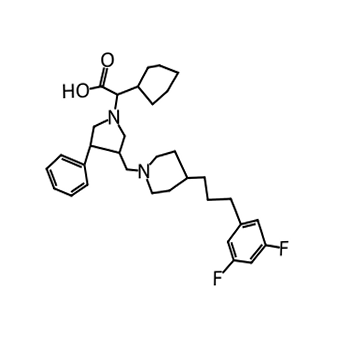 O=C(O)C(C1CCCCC1)N1CC(CN2CCC(CCCc3cc(F)cc(F)c3)CC2)C(c2ccccc2)C1